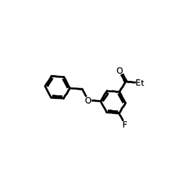 CCC(=O)c1cc(F)cc(OCc2ccccc2)c1